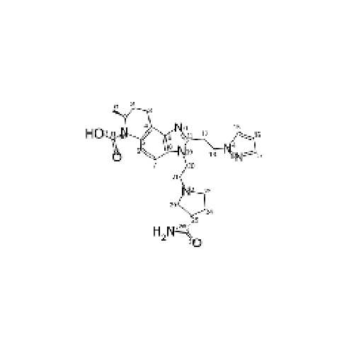 C[C@H]1CCc2c(ccc3c2nc(CCn2cccn2)n3CCN2CC[C@H](C(N)=O)C2)N1C(=O)O